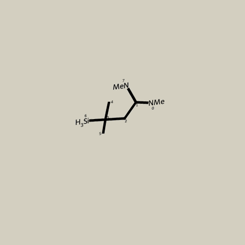 CNC(CC(C)(C)[SiH3])NC